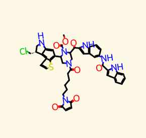 COC(=O)N1C(C(=O)c2cc3cc(NC(=O)c4cc5ccccc5[nH]4)ccc3[nH]2)CN(C(=O)CCCCCN2C(=O)C=CC2=O)CC1c1cc2c(c3ccsc13)[C@H](CCl)CN2